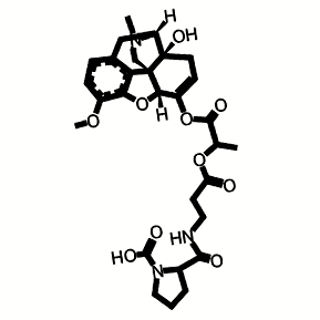 COc1ccc2c3c1O[C@H]1C(OC(=O)C(C)OC(=O)CCNC(=O)C4CCCN4C(=O)O)=CC[C@@]4(O)[C@@H](C2)N(C)CC[C@]314